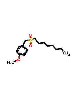 CCCCCCCCS(=O)(=O)Cc1ccc(OC)cc1